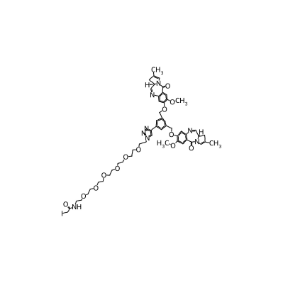 COc1cc2c(cc1OCc1cc(COc3cc4c(cc3OC)C(=O)N3C=C(C)C[C@H]3C=N4)cc(-c3cn(CCOCCOCCOCCOCCOCCOCCNC(=O)CI)nn3)c1)N=C[C@@H]1CC(C)=CN1C2=O